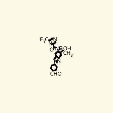 CC(C)(O)c1cc2nn(C3CCC(C=O)CC3)cc2cc1NC(=O)c1cncc(C(F)(F)F)n1